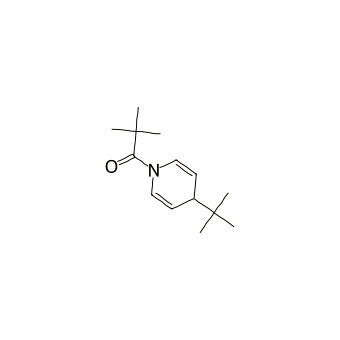 CC(C)(C)C(=O)N1C=CC(C(C)(C)C)C=C1